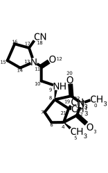 CN1C(=O)[C@]2(C)CC[C@](NCC(=O)N3CCCC3C#N)(C1=O)C2(C)C